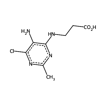 Cc1nc(Cl)c(N)c(NCCC(=O)O)n1